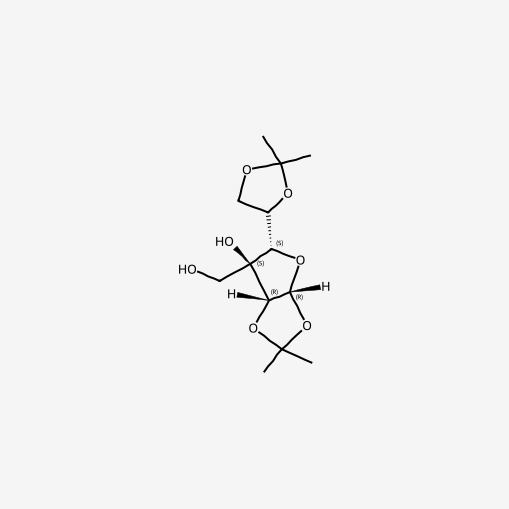 CC1(C)OCC([C@@H]2O[C@@H]3OC(C)(C)O[C@@H]3[C@]2(O)CO)O1